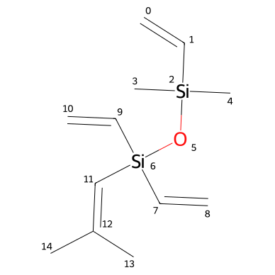 C=C[Si](C)(C)O[Si](C=C)(C=C)C=C(C)C